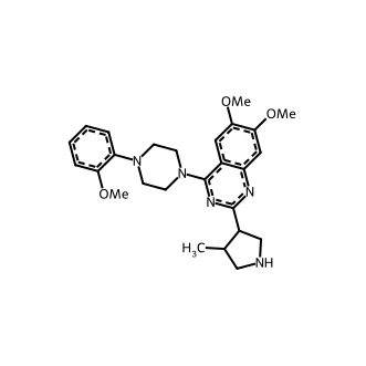 COc1cc2nc(C3CNCC3C)nc(N3CCN(c4ccccc4OC)CC3)c2cc1OC